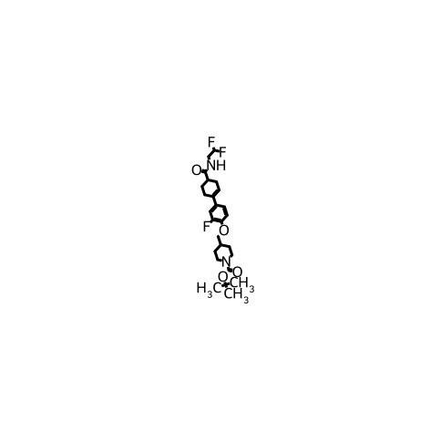 CC(C)(C)OC(=O)N1CCC(COc2ccc(C3=CCC(C(=O)NCC(F)F)CC3)cc2F)CC1